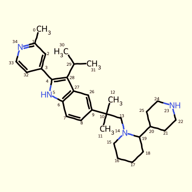 Cc1cc(-c2[nH]c3ccc(C(C)(C)CN4CCCCC4C4CCNCC4)cc3c2C(C)C)ccn1